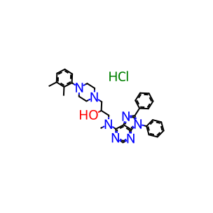 Cc1cccc(N2CCN(CC(O)CN(C)c3ncnc4c3nc(-c3ccccc3)n4-c3ccccc3)CC2)c1C.Cl